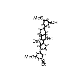 CCOc1cc(OC)cc(-c2ccc3c(c2)n(CC)c2c4ccc(-c5cc(O)cc(OC)c5)cc4n(CC)c32)c1